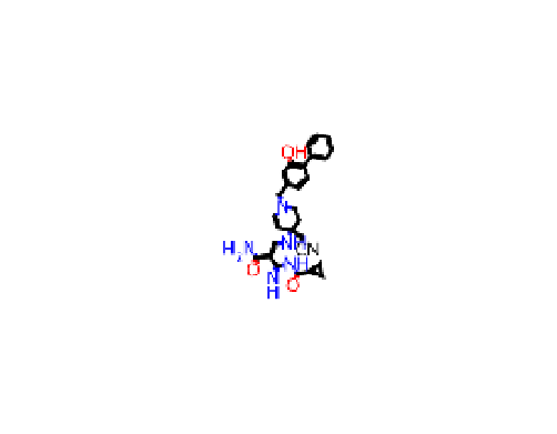 N#CCC1(N/C=C(\C(=N)NC(=O)C2CC2)C(N)=O)CCN(Cc2ccc(-c3ccccc3)c(O)c2)CC1